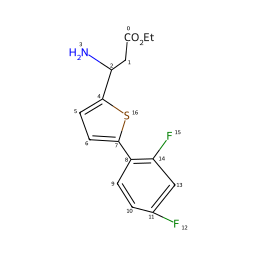 CCOC(=O)CC(N)c1ccc(-c2ccc(F)cc2F)s1